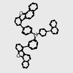 c1cc(-c2cccc3oc4c5ccccc5ccc4c23)cc(N(c2ccc(-c3cccc4ccccc34)cc2)c2ccc(-c3cccc4oc5c6ccccc6ccc5c34)cc2)c1